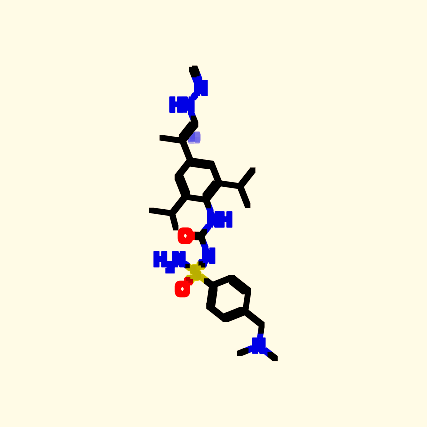 C=NN/C=C(\C)c1cc(C(C)C)c(NC(=O)N=S(N)(=O)c2ccc(CN(C)C)cc2)c(C(C)C)c1